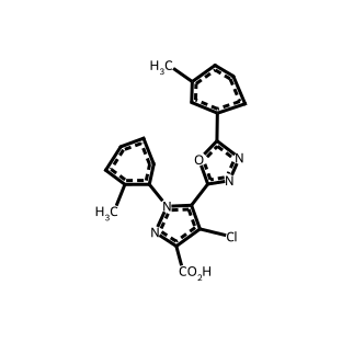 Cc1cccc(-c2nnc(-c3c(Cl)c(C(=O)O)nn3-c3ccccc3C)o2)c1